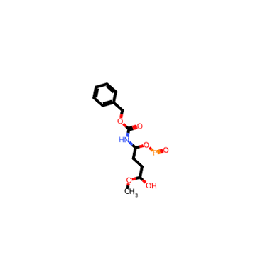 COC(O)CCC(NC(=O)OCc1ccccc1)OP=O